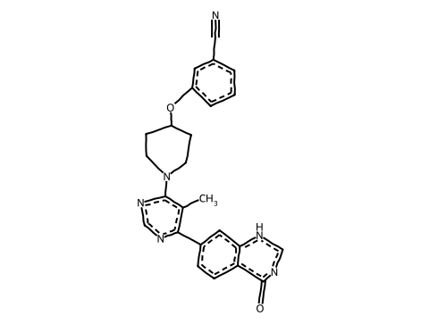 Cc1c(-c2ccc3c(=O)nc[nH]c3c2)ncnc1N1CCC(Oc2cccc(C#N)c2)CC1